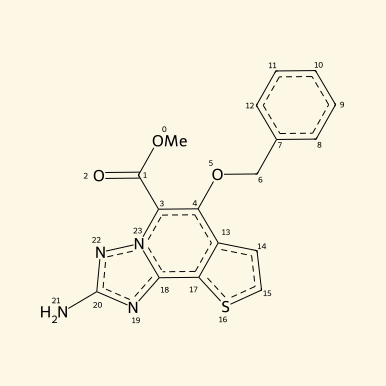 COC(=O)c1c(OCc2ccccc2)c2ccsc2c2nc(N)nn12